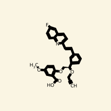 C#CCO[C@@H](COc1ccc(OC)cc1C(=O)O)c1cccc(/C=C/c2ccc3cc(F)ccc3n2)c1